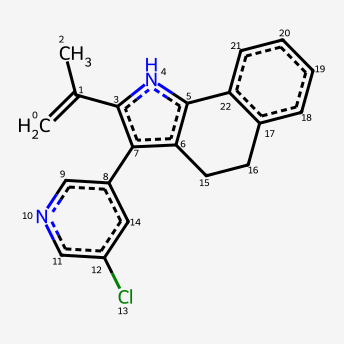 C=C(C)c1[nH]c2c(c1-c1cncc(Cl)c1)CCc1ccccc1-2